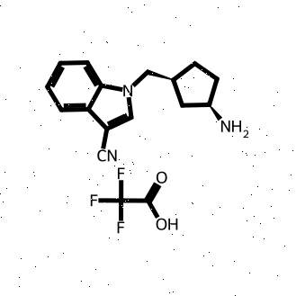 N#Cc1cn(C[C@H]2CC[C@@H](N)C2)c2ccccc12.O=C(O)C(F)(F)F